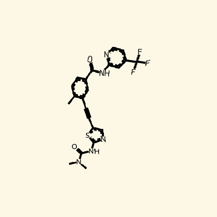 Cc1ccc(C(=O)Nc2cc(C(F)(F)F)ccn2)cc1C#Cc1cnc(NC(=O)N(C)C)s1